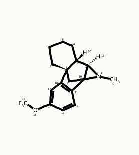 CN1[C@@H]2[C@H]3CCCC[C@]34CC21c1ccc(OC(F)(F)F)cc14